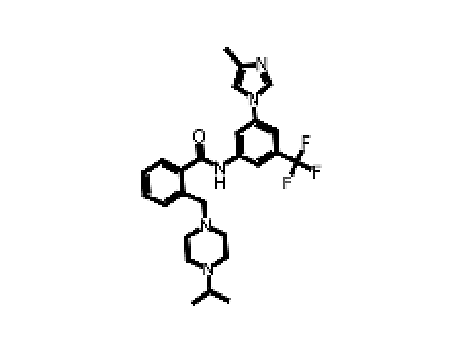 Cc1cn(-c2cc(NC(=O)c3ccccc3CN3CCN(C(C)C)CC3)cc(C(F)(F)F)c2)cn1